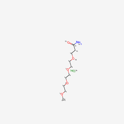 CCOCCOCCOCCOCCC(N)=O.Cl